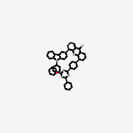 O=c1c2c(oc3c(-c4ccc(-c5nc(-c6ccccc6)nc(-c6ccccc6)n5)cc4)cccc13)=C(c1ccc3c(c1)c1ccccc1n3-c1ccccc1)CCC=2